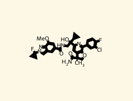 COc1cc(C(=O)NCC(O)(c2cc3c(c(-c4ccc(F)c(Cl)c4)n2)OC[C@]3(C)C(N)=O)C2CC2)cc2cn(C3(F)CC3)nc12